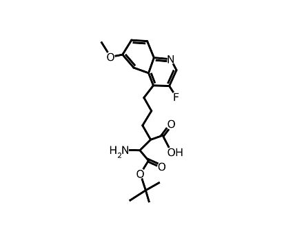 COc1ccc2ncc(F)c(CCCC(C(=O)O)C(N)C(=O)OC(C)(C)C)c2c1